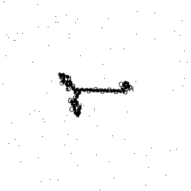 C=C1CC2C=Nc3cc(OCc4cc(CCCOCCOCCOCCOCCOCCC(=O)O[N+]5(O)C(=O)CCC5=O)cc(COc5cc6c(cc5OC)C(=O)N5CC(=C)CC5C=N6)c4)c(OC)cc3C(=O)N2C1